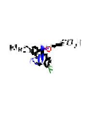 COc1ccc(C(=NOCCCCC(=O)O)C(Cc2ccc(F)cc2)n2ccnc2)cc1